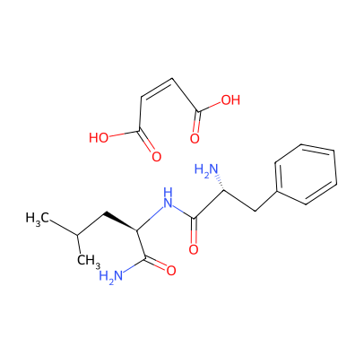 CC(C)C[C@@H](NC(=O)[C@H](N)Cc1ccccc1)C(N)=O.O=C(O)/C=C\C(=O)O